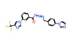 O=C(N=[N+]=NCc1ccc(-n2ccnc2)cc1)c1cccc(-n2cnc(C(F)(F)F)c2)c1